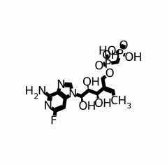 C/C=C(/COP(=O)(O)CP(=O)(O)O)[C@@H](O)[C@@H](O)[C@@H](O)n1cnc2c(N)nc(F)cc21